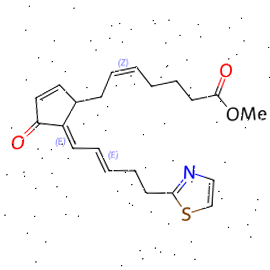 COC(=O)CCC/C=C\CC1C=CC(=O)/C1=C/C=C/CCc1nccs1